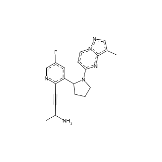 Cc1cnn2ccc(N3CCCC3c3cc(F)cnc3C#CC(C)N)nc12